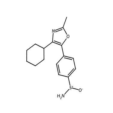 Cc1nc(C2CCCCC2)c(-c2ccc([S+](N)[O-])cc2)o1